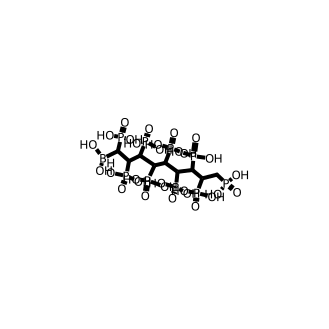 O=P(O)(O)CC(C(C(C(C(C(C(C(B(O)O)P(=O)(O)O)P(=O)(O)O)P(=O)(O)O)P(=O)(O)O)P(=O)(O)O)P(=O)(O)O)P(=O)(O)O)P(=O)(O)O